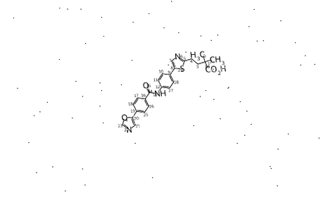 CC(C)(CCc1ncc(-c2ccc(NC(=O)c3ccc(-c4cnco4)cc3)cc2)s1)C(=O)O